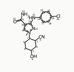 N#CC1CC(O)CCC1n1cc(C(N)=O)c(Nc2ccc(Cl)cc2)n1